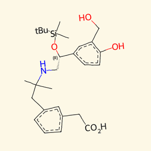 CC(C)(Cc1cccc(CC(=O)O)c1)NC[C@H](O[Si](C)(C)C(C)(C)C)c1ccc(O)c(CO)c1